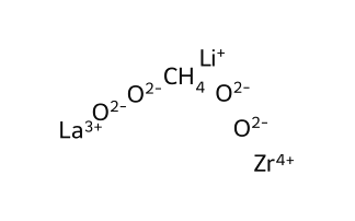 C.[La+3].[Li+].[O-2].[O-2].[O-2].[O-2].[Zr+4]